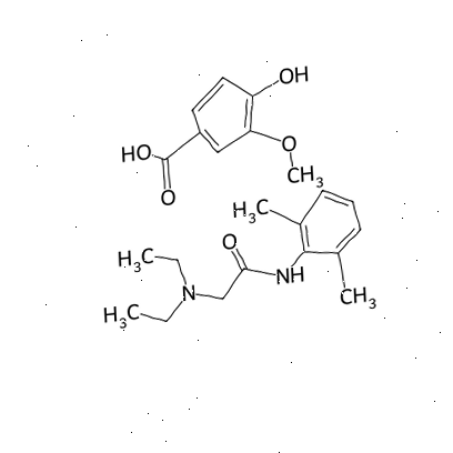 CCN(CC)CC(=O)Nc1c(C)cccc1C.COc1cc(C(=O)O)ccc1O